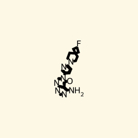 Nc1ncnc2ncn(-c3ccc(N4CCC5(CC4)CC(F)C5)nc3)c(=O)c12